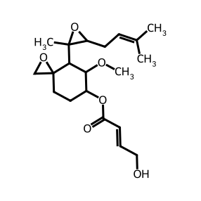 COC1C(OC(=O)C=CCO)CCC2(CO2)C1C1(C)OC1CC=C(C)C